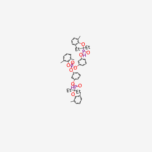 CCC(CC)(Oc1c(C)cccc1C)[PH](=O)Oc1cccc(OP(=O)(Oc2cccc(O[PH](=O)C(CC)(CC)Oc3c(C)cccc3C)c2)Oc2c(C)cccc2C)c1